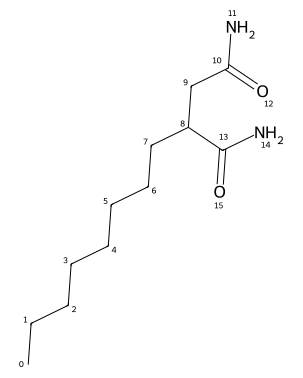 CCCCCCCCC(CC(N)=O)C(N)=O